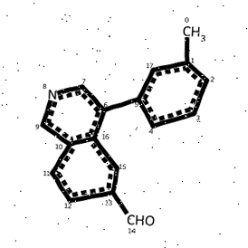 Cc1cccc(-c2cncc3ccc(C=O)cc23)c1